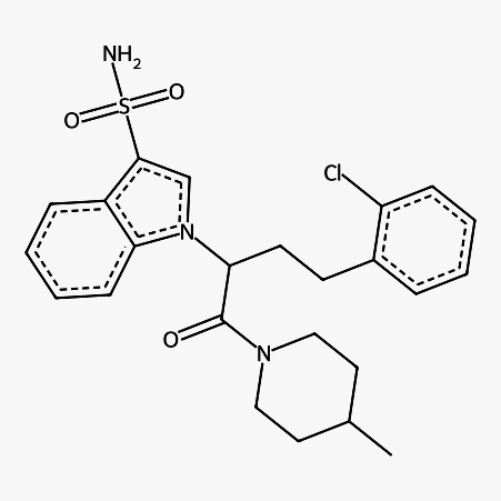 CC1CCN(C(=O)C(CCc2ccccc2Cl)n2cc(S(N)(=O)=O)c3ccccc32)CC1